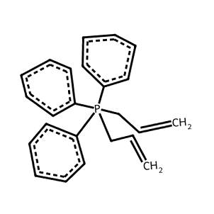 C=CCP(CC=C)(c1ccccc1)(c1ccccc1)c1ccccc1